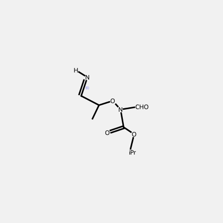 [H]/N=C/C(C)ON(C=O)C(=O)OC(C)C